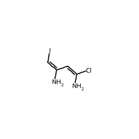 N/C(Cl)=C\C(N)=C/I